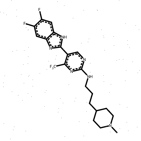 CN1CCC(CCCNc2ncc(-c3nc4cc(F)c(F)cc4[nH]3)c(C(F)(F)F)n2)CC1